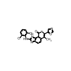 CC1=C(c2cnco2)[N]C(=O)c2c1ccc1nc(Nc3c(Cl)cccc3Cl)[nH]c21